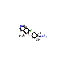 CC[C@H](N)[C@]1(CC)CC[C@H](Oc2c(F)cc3cnccc3c2C)CC1